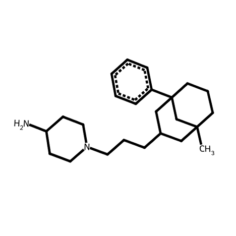 CC12CCCC(c3ccccc3)(CC(CCCN3CCC(N)CC3)C1)C2